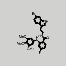 COc1cc(Nc2cc(F)ccc2C(=O)NCCc2c[nH]c3cc(Br)ccc23)cc(OC)c1OC